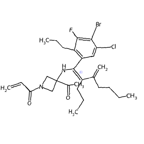 C=CC(=O)N1CC(N/C(=C(\CCC)C(=C)CCCC)c2cc(Cl)c(Br)c(F)c2CCC)(C(C)=O)C1